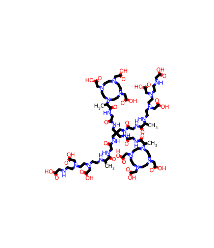 CC(NCCN(CCN(CCNCC(=O)O)CC(=O)O)CC(=O)O)C(=O)NCC(=O)NCC(CNC(=O)CNC(=O)C(C)NCCN(CCN(CCNCC(=O)O)CC(=O)O)CC(=O)O)(CNC(=O)CNC(=O)C(C)N1CCN(CC(=O)O)CCN(CC(=O)O)CCN(CC(=O)O)CC1)CNC(=O)CNC(=O)C(C)N1CCN(CC(=O)O)CCN(CC(=O)O)CCN(CC(=O)O)CC1